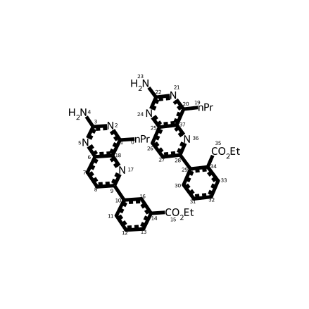 CCCc1nc(N)nc2ccc(-c3cccc(C(=O)OCC)c3)nc12.CCCc1nc(N)nc2ccc(-c3ccccc3C(=O)OCC)nc12